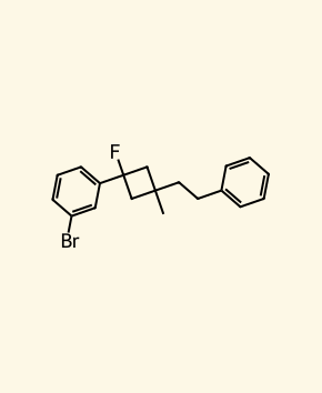 CC1(CCc2ccccc2)CC(F)(c2cccc(Br)c2)C1